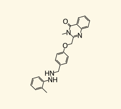 Cc1ccccc1NNCc1ccc(OCc2nc3ccccc3c(=O)n2C)cc1